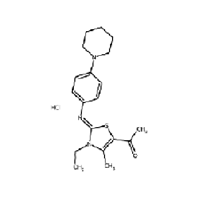 CCn1c(C)c(C(C)=O)s/c1=N\c1ccc(N2CCCCC2)cc1.Cl